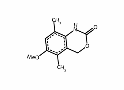 COc1cc(C)c2c(c1C)COC(=O)N2